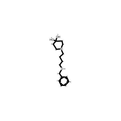 OC1(O)CCN(CCCCOCc2ccccc2)CC1